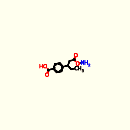 CCC(CC(=O)ON)c1ccc(C(=O)O)cc1